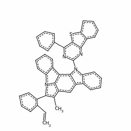 C=Cc1ccccc1-c1c(C)c2cc3c4ccccc4n(-c4nc(-c5ccccc5)c5sc6ccccc6c5n4)c3c3c4ccccc4n1c23